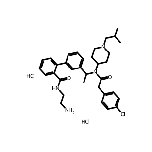 CC(C)CN1CCC(N(C(=O)Cc2ccc(Cl)cc2)C(C)c2cccc(-c3ccccc3C(=O)NCCN)c2)CC1.Cl.Cl